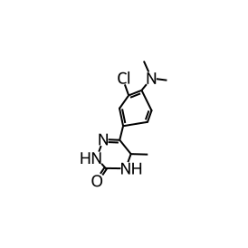 CC1NC(=O)NN=C1c1ccc(N(C)C)c(Cl)c1